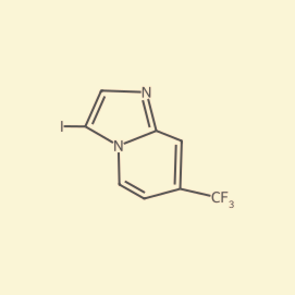 FC(F)(F)c1ccn2c(I)cnc2c1